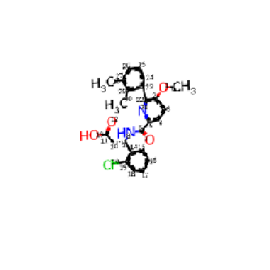 COc1ccc(C(=O)N[C@@H](CC(=O)O)c2ccccc2Cl)nc1-c1cccc(C)c1C